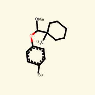 CCC(C)c1ccc(OC(OC)C2(C)CCCCC2)cc1